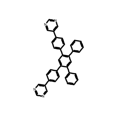 c1ccc(-c2cc(-c3ccccc3)c(-c3ccc(-c4cncnc4)cc3)cc2-c2ccc(-c3cncnc3)cc2)cc1